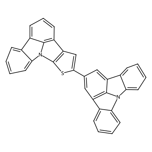 c1ccc2c(c1)c1cc(-c3cc4c5cccc6c7ccccc7n(c4s3)c65)cc3c4ccccc4n2c13